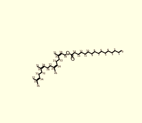 CCCCCCCCCCCCCCCC(=O)OCC=C(C)CCC=C(C)CCC=C(C)CCC=C(C)C